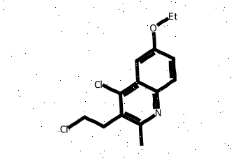 CCOc1ccc2nc(C)c(CCCl)c(Cl)c2c1